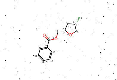 O=C(OC[C@@H]1C[C@H](F)CO1)c1ccccc1